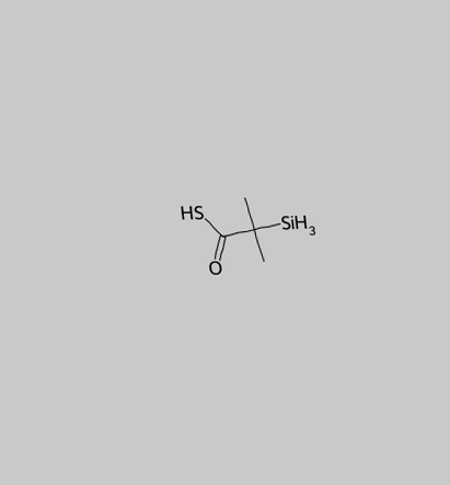 CC(C)([SiH3])C(=O)S